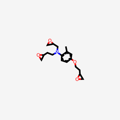 Cc1cc(OCCC2CO2)ccc1N(CCC1CO1)CC1CO1